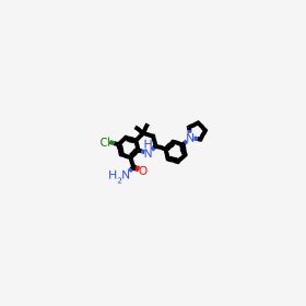 CC1(C)CC(c2cccc(N3CCCC3)c2)Nc2c(C(N)=O)cc(Cl)cc21